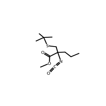 CCCC(CSC(C)(C)C)(N=C=O)C(=O)OC